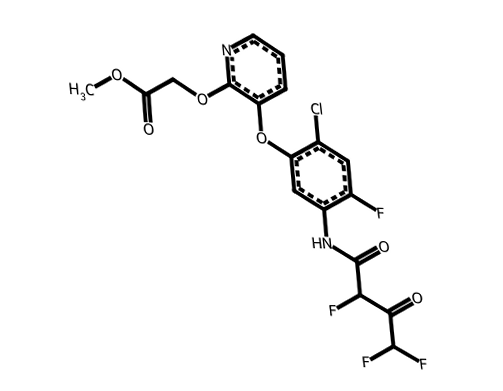 COC(=O)COc1ncccc1Oc1cc(NC(=O)C(F)C(=O)C(F)F)c(F)cc1Cl